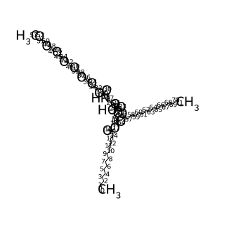 CCCCCCCCCCCCCCCC(=O)OC[C@H](COP(=O)(O)OCCNC(=O)OCCOCCOCCOCCOCCOCCOCCOC)OC(=O)CCCCCCCCCCCCCCC